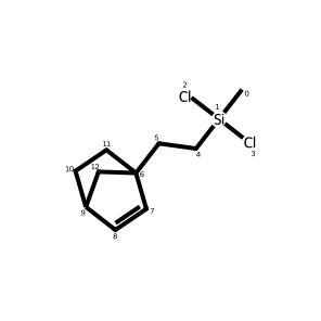 C[Si](Cl)(Cl)CCC12C=CC(CC1)C2